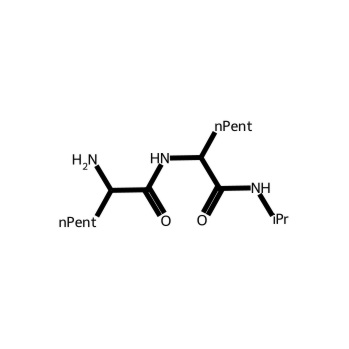 CCCCCC(N)C(=O)NC(CCCCC)C(=O)NC(C)C